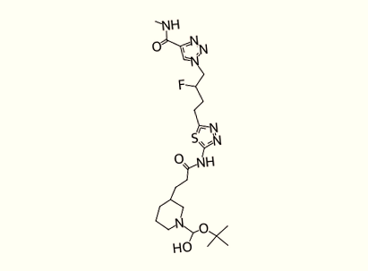 CNC(=O)c1cn(CC(F)CCc2nnc(NC(=O)CCC3CCCN(C(O)OC(C)(C)C)C3)s2)nn1